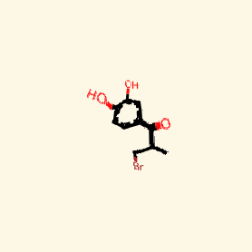 CC(CBr)C(=O)c1ccc(O)c(O)c1